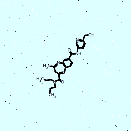 CCCN(CCC)C(=O)C1=Cc2ccc(C(=O)Nc3ccc(CO)nc3)cc2N=C(N)C1